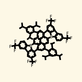 CC(C)c1cc(C(C)C)c(-c2cc3c4c(cc5c(-c6c(C(C)C)cc(C(C)C)cc6C(C)C)cc6c7c(cc2c4c57)B2c4ccc(C(F)(F)F)cc4-c4cc(C(F)(F)F)cc-6c42)B2c4ccc(C(F)(F)F)cc4-c4cc(C(F)(F)F)cc-3c42)c(C(C)C)c1